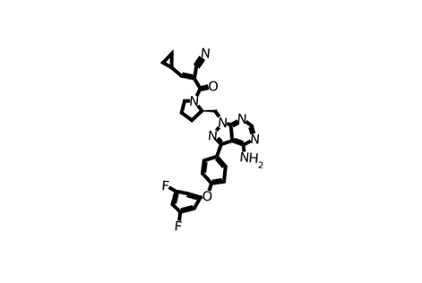 N#C/C(=C\C1CC1)C(=O)N1CCC[C@@H]1Cn1nc(-c2ccc(Oc3cc(F)cc(F)c3)cc2)c2c(N)ncnc21